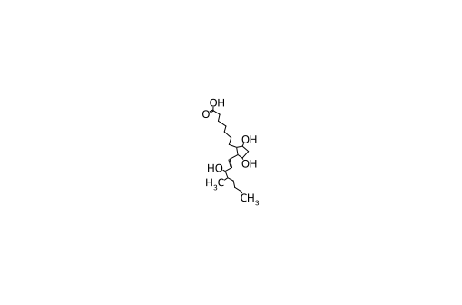 CCCCC(C)C(O)C=CC1C(O)CC(O)C1CCCCCCC(=O)O